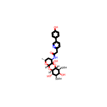 CN[C@@H]1[C@H](O)[C@H](NC)[C@H]2O[C@]3(O)[C@H](O[C@@H]2[C@H]1O)O[C@H](C)C[C@H]3NC(=O)Cc1ccc(-c2ccc(O)cc2)cn1